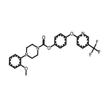 COc1ccccc1N1CCN(C(=O)Oc2ccc(Oc3ccc(C(F)(F)F)cn3)cc2)CC1